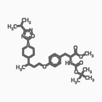 COC(=O)C(Cc1ccc(OCCC(C)C2CCN(c3nc(C(C)C)no3)CC2)cc1)NC(=O)OC(C)(C)C